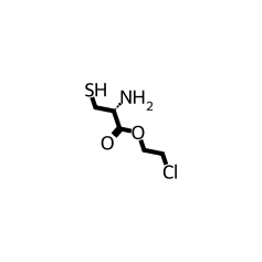 N[C@@H](CS)C(=O)OCCCl